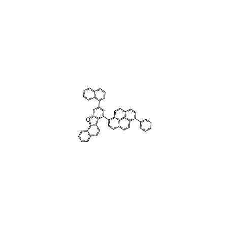 c1ccc(-c2ccc3ccc4c(-c5cc(-c6cccc7ccccc67)cc6oc7c8ccccc8ccc7c56)ccc5ccc2c3c54)cc1